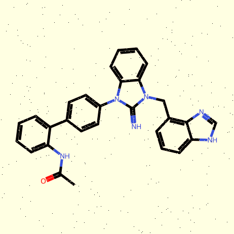 CC(=O)Nc1ccccc1-c1ccc(-n2c(=N)n(Cc3cccc4[nH]cnc34)c3ccccc32)cc1